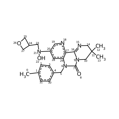 Cc1ccc(CN2C(=O)N3CC(C)(C)CN=C3c3ncc(N(O)CC4COC4)cc32)cc1